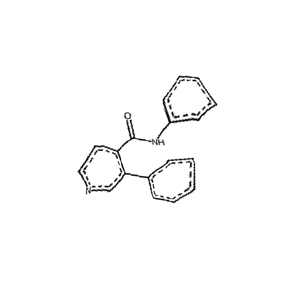 O=C(Nc1ccccc1)c1ccncc1-c1ccccc1